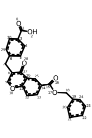 O=C(O)c1ccc(Cc2coc3ccc(C(=O)OCc4ccccc4)cc3c2=O)cc1